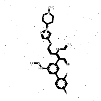 C=CNC(/C=C\Cc1cnn(C2CCN(C)CC2)c1)=C(\C=N)c1cc(NSC)cc(-c2ccc(F)cc2F)c1